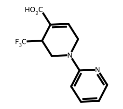 O=C(O)C1=CCN(c2ccccn2)CC1C(F)(F)F